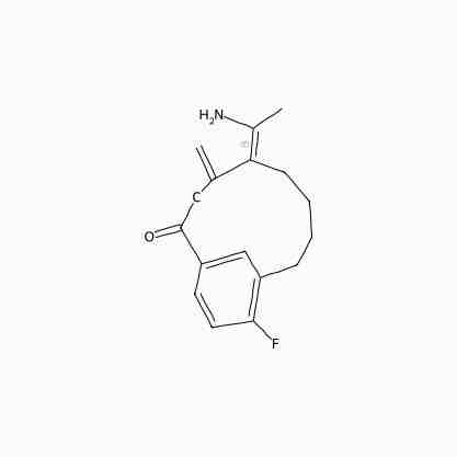 C=C1CC(=O)c2ccc(F)c(c2)CCCC/C1=C(\C)N